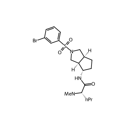 CCC[C@H](NC)C(=O)N[C@H]1CC[C@@H]2CN(S(=O)(=O)c3cccc(Br)c3)C[C@@H]21